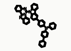 c1ccc(-c2ccc(N(c3ccccc3)c3ccc(-c4ccc5c(c4)c4ccccc4n5-c4nc5ccccc5c5nc6ccccc6n45)cc3)cc2)cc1